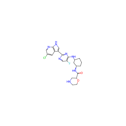 O=C(N[C@@H]1CCCC(Nc2nc(-c3c[nH]c4ncc(Cl)cc34)ncc2F)C1)C1CNCCO1